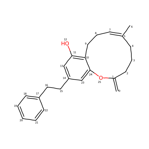 C=C1CCC/C(C)=C\CCc2c(O)cc(CCc3ccccc3)cc2O1